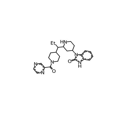 CCC(C1CCN(C(=O)c2cnccn2)CC1)C1CC(n2c(=O)[nH]c3ccccc32)CCN1